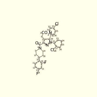 O=C(O)Cc1c(C(=O)N2CCC(c3ccc(F)cc3F)CC2)nn(-c2ccccc2Cl)c1-c1ccc(Cl)cc1